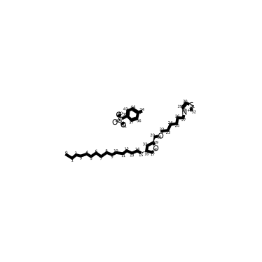 CCCCCCCCCCCCCCCC[C@H]1CO[C@H](COCCCCCC[n+]2ccsc2)C1.Cc1ccc(S(=O)(=O)[O-])cc1